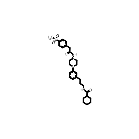 CS(=O)(=O)c1ccc(CC(=O)NN2CCN(c3cccc(CCCNC(=O)C4CCCCC4)c3)CC2)cc1